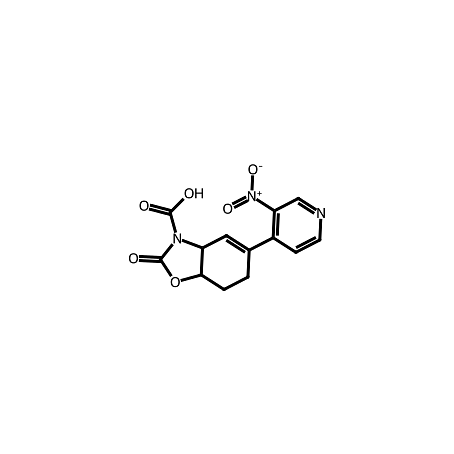 O=C(O)N1C(=O)OC2CCC(c3ccncc3[N+](=O)[O-])=CC21